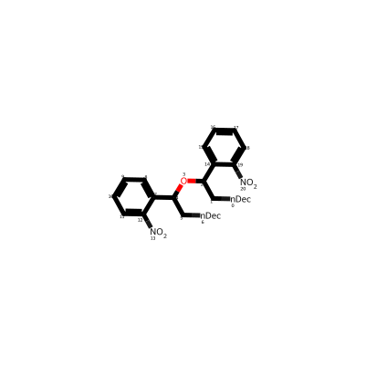 CCCCCCCCCCCC(OC(CCCCCCCCCCC)c1ccccc1[N+](=O)[O-])c1ccccc1[N+](=O)[O-]